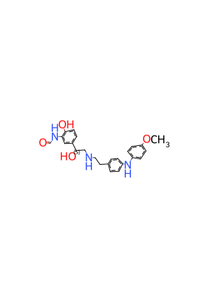 COc1ccc(Nc2ccc(CCNC[C@@H](O)c3ccc(O)c(NC=O)c3)cc2)cc1